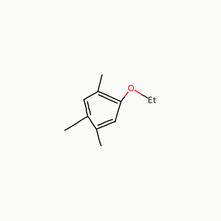 CCOc1cc(C)c(C)cc1C